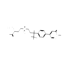 Cn1ncc(-c2ccc(C(O)(CCS(=N)(=O)CC[C@H](N)C(=O)O)C(F)(F)F)cc2)cc1=O